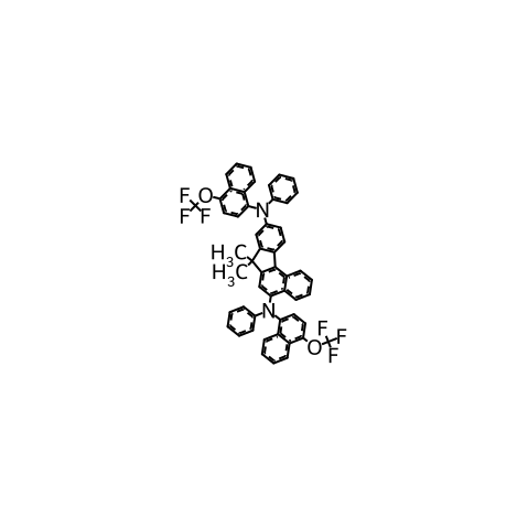 CC1(C)c2cc(N(c3ccccc3)c3ccc(OC(F)(F)F)c4ccccc34)ccc2-c2c1cc(N(c1ccccc1)c1ccc(OC(F)(F)F)c3ccccc13)c1ccccc21